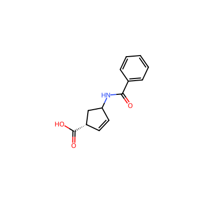 O=C(NC1C=C[C@H](C(=O)O)C1)c1ccccc1